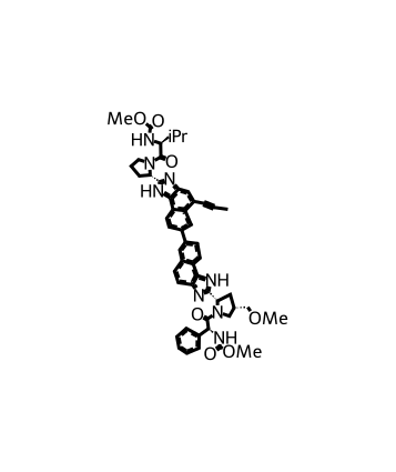 CC#Cc1cc2nc([C@@H]3CCCN3C(=O)[C@@H](NC(=O)OC)C(C)C)[nH]c2c2ccc(-c3ccc4c(ccc5nc([C@@H]6C[C@H](COC)CN6C(=O)[C@H](NC(=O)OC)c6ccccc6)[nH]c54)c3)cc12